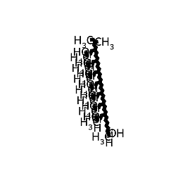 CCC(C)CCC(CCCC(CCCC(CCCC(CCCC(CCCC(CCCC(CCCCCC[SiH](C)O)CC[SiH](C)O)CC[SiH](C)O)CC[SiH](C)O)CC[SiH](C)O)CC[SiH](C)O)CC[SiH](C)O)CC[SiH](C)O